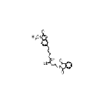 CCC(CCCN1C(=O)c2ccccc2C1=O)NCCCCc1ccc2c(c1)sc(=O)n2C